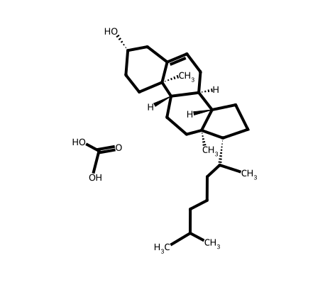 CC(C)CCCC(C)[C@H]1CC[C@H]2[C@@H]3CC=C4C[C@@H](O)CC[C@]4(C)[C@H]3CC[C@]12C.O=C(O)O